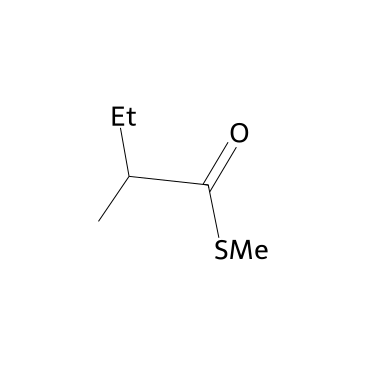 CCC(C)C(=O)SC